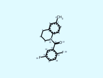 Cc1ccc2c(c1)CCCN2C(=O)c1cc(F)ccc1F